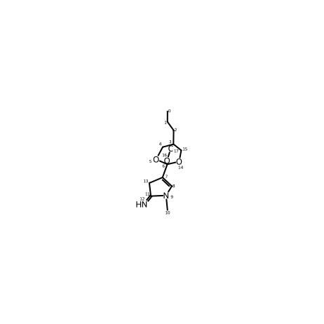 CCCC12COC(C3=CN(C)C(=N)C3)(OC1)OC2